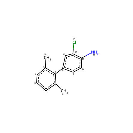 Cc1cccc(C)c1-c1ccc(N)c(Cl)c1